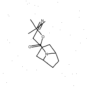 CC(C)(C)OC(=O)N1C2CCC1CC(CC#N)C2